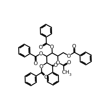 CC(=O)OC(COC(=O)c1ccccc1)C(OC(=O)c1ccccc1)C(OC(=O)c1ccccc1)C(OC(=O)c1ccccc1)C(=O)c1ccccc1